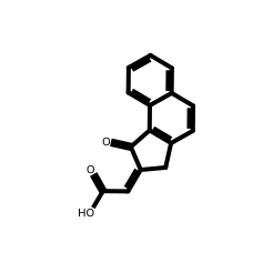 O=C(O)C=C1Cc2ccc3ccccc3c2C1=O